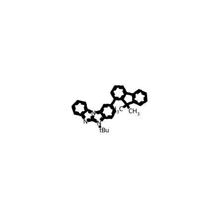 CC1(C)c2ccccc2-c2cccc(-c3ccc4c(c3)n3c5ccccc5nc3n4C(C)(C)C)c21